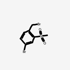 CS(=O)(=O)c1cc(Br)ccc1CBr